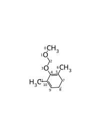 COCOC1=C(C)C[CH]C=C1C